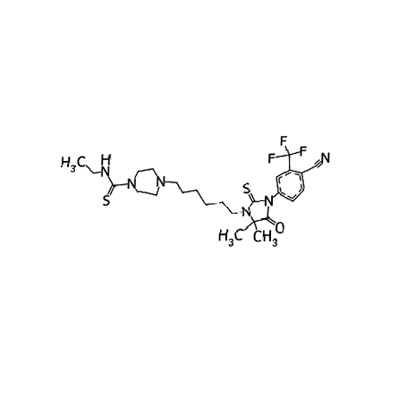 CCNC(=S)N1CCN(CCCCCCN2C(=S)N(c3ccc(C#N)c(C(F)(F)F)c3)C(=O)C2(C)C)CC1